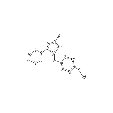 CC(C)c1cc(-c2ccccc2)n(Cc2ccc(CO)cc2)n1